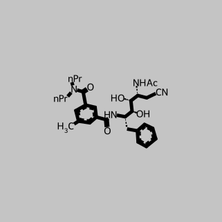 CCCN(CCC)C(=O)c1cc(C)cc(C(=O)N[C@@H](Cc2ccccc2)[C@@H](O)[C@H](O)[C@@H](CC#N)NC(C)=O)c1